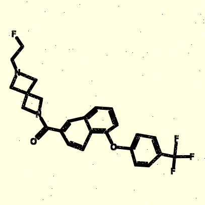 O=C(c1ccc2c(Oc3ccc(C(F)(F)F)cc3)cccc2c1)N1CC2(CN(CCF)C2)C1